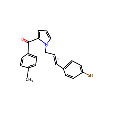 Cc1ccc(C(=O)c2cccn2C/C=C/c2ccc(S)cc2)cc1